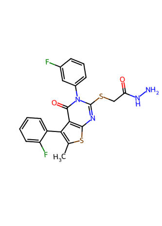 Cc1sc2nc(SCC(=O)NN)n(-c3cccc(F)c3)c(=O)c2c1-c1ccccc1F